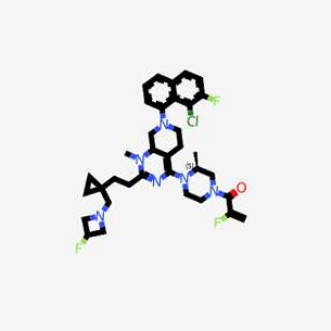 C=C(F)C(=O)N1CCN(C2=C3CCN(c4cccc5ccc(F)c(Cl)c45)CC3N(C)C(CCC3(CN4CC(F)C4)CC3)=N2)[C@@H](C)C1